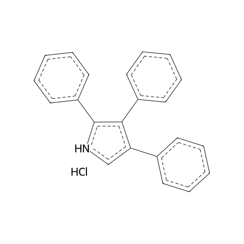 Cl.c1ccc(-c2c[nH]c(-c3ccccc3)c2-c2ccccc2)cc1